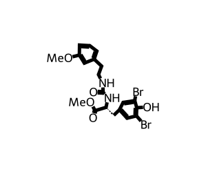 COC(=O)[C@@H](Cc1cc(Br)c(O)c(Br)c1)NC(=O)NCCc1cccc(OC)c1